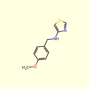 COc1ccc(CNc2cscn2)cc1